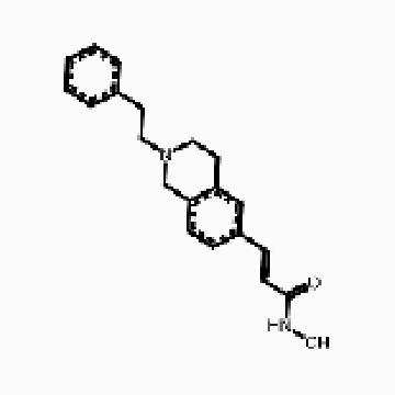 O=C(C=Cc1ccc2c(c1)CCN(CCc1ccccc1)C2)NO